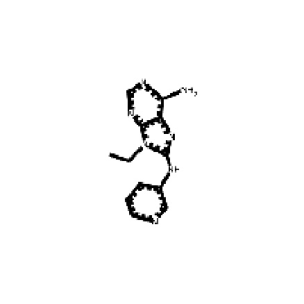 [CH2]Cn1c(Nc2cccnc2)nc2c(N)ncnc21